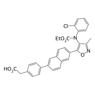 CCOC(=O)N(c1ccccc1Cl)c1c(C)noc1-c1ccc2cc(-c3ccc(CC(=O)O)cc3)ccc2c1